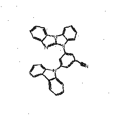 N#Cc1cc(-n2c3ccccc3c3ccccc32)cc(-n2c3ccccc3n3c4ccccc4nc23)c1